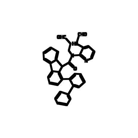 O=CCCN(C(=O)C1c2ccccc2-c2cccc(-c3ccccc3-c3ccccc3)c21)c1ncccc1NC=O